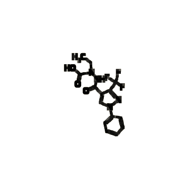 CCN(NC(=O)c1cn(-c2ccccc2)nc1C(F)(F)F)C(=O)O